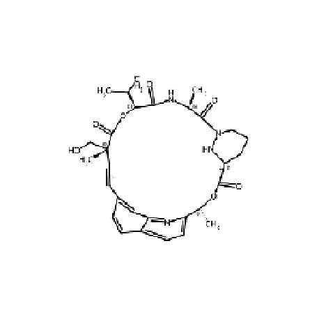 CC(C)[C@@H]1OC(=O)[C@@](C)(CO)/C=C/c2ccc3ccc(nc3c2)[C@@H](C)OC(=O)[C@@H]2CCCN(N2)C(=O)[C@H](C)NC1=O